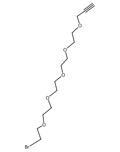 C#CCOCCOCCOCCOCCOCCBr